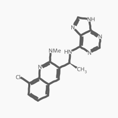 CNc1nc2c(Cl)cccc2cc1[C@H](C)Nc1ncnc2[nH]cnc12